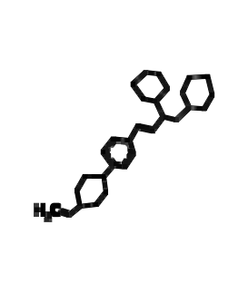 C=CC1CCC(c2ccc(C=CC(CC3CCCCC3)C3CCCCC3)cc2)CC1